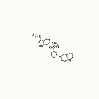 COC(=O)c1ccc(NS(=O)(=O)c2cccc(-c3ccc4ncccc4c3)c2)cc1O